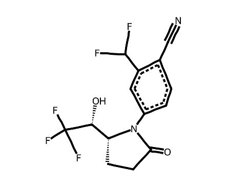 N#Cc1ccc(N2C(=O)CC[C@@H]2[C@@H](O)C(F)(F)F)cc1C(F)F